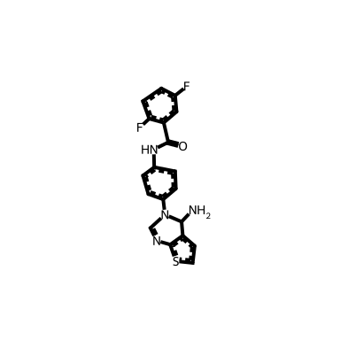 NC1c2ccsc2N=CN1c1ccc(NC(=O)c2cc(F)ccc2F)cc1